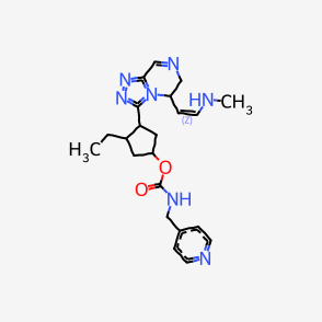 CCC1CC(OC(=O)NCc2ccncc2)CC1c1nnc2n1C(/C=C\NC)CN=C2